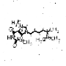 CC(CCCCN1CN(C)c2c1n(C)c(=O)[nH]c2=O)N(C)C